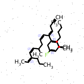 C#CC/C=C(\C=C/CC(C)/C=C\C(=C/C)CCC)C(=C/CC)/C/C(F)=C\C(C)CCCCC